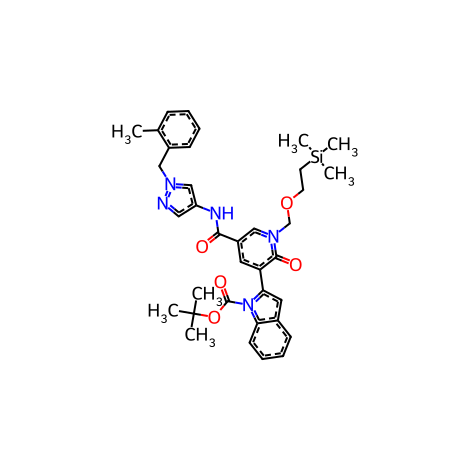 Cc1ccccc1Cn1cc(NC(=O)c2cc(-c3cc4ccccc4n3C(=O)OC(C)(C)C)c(=O)n(COCC[Si](C)(C)C)c2)cn1